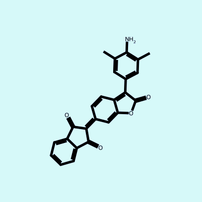 Cc1cc(C2=c3ccc(=C4C(=O)c5ccccc5C4=O)cc3OC2=O)cc(C)c1N